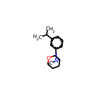 CC(C)c1cccc(N2CC3CCC2CO3)c1